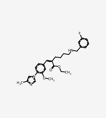 CCOC(=O)C(=Cc1ccc(-n2cnc(C)c2)c(OC)c1)CCCCNCc1cccc(F)c1